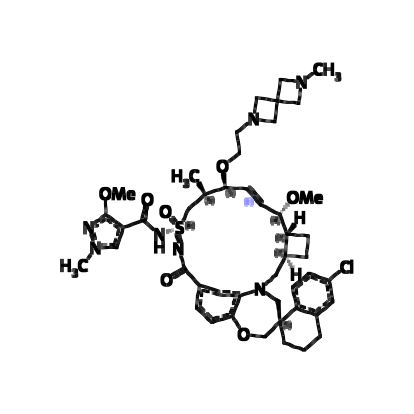 COc1nn(C)cc1C(=O)N[S@@]1(=O)=NC(=O)c2ccc3c(c2)N(C[C@@H]2CC[C@H]2[C@@H](OC)/C=C/[C@H](OCCN2CC4(CN(C)C4)C2)[C@H](C)C1)C[C@@]1(CCCc2cc(Cl)ccc21)CO3